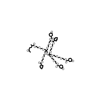 CC(CCC1OC1C)C(=O)OCCOCCOCC(COCCOCCOC(=O)C1CC2CC(C1)O2)(COCCOCCOC(=O)C1CCC2OC2C1)COCC(COCCOCCOCCOC(=O)C1CCC2OC2C1)(COCCOCCOC(=O)C1CC2CC(C1)O2)COCCOCCOC(=O)C1CCC2OC2C1